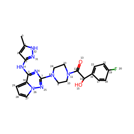 Cc1cc(Nc2nc(N3CCN(C(=O)C(O)c4ccc(F)cc4)CC3)nn3cccc23)n[nH]1